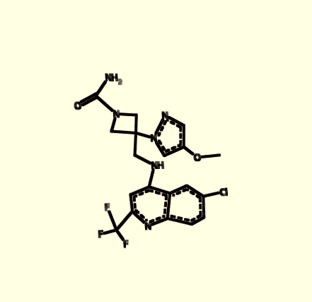 COc1cnn(C2(CNc3cc(C(F)(F)F)nc4ccc(Cl)cc34)CN(C(N)=O)C2)c1